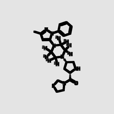 [2H]C1([2H])N(c2cc(C)nn2-c2ccccc2)C([2H])([2H])C([2H])([2H])N([C@@H]2CN[C@H](C(=O)N3CCSC3)C2)C1([2H])[2H]